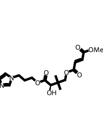 COC(=O)/C=C/C(=O)OCC(C)(C)[C@@H](O)C(=O)OCCCn1ccnc1